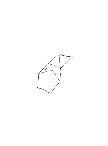 C1CC2CC1=C1C3CC123